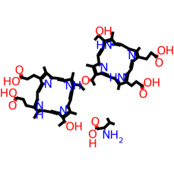 CC(C)[C@H](N)C(=O)O.CC1=C(CCC(=O)O)c2cc3[nH]c(cc4nc(cc5[nH]c(cc1n2)c(C)c5C(C)OC(C)C1=C(C)c2cc5[nH]c(cc6nc(cc7[nH]c(cc1n2)c(C)c7CCC(=O)O)C(CCC(=O)O)=C6C)c(C)c5C(C)O)C(C)=C4C(C)O)c(C)c3CCC(=O)O